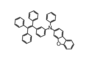 c1ccc(C(=C(c2ccccc2)c2cccc(N(c3ccccc3)c3ccc4c(c3)oc3ccccc34)c2)c2ccccc2)cc1